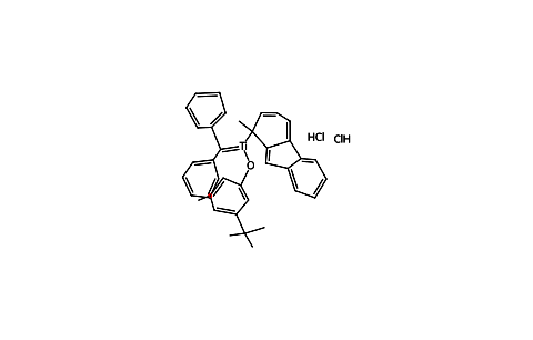 Cc1cc([O][Ti](=[C](c2ccccc2)c2ccccc2)[C]2(C)C=CC=C3C2=Cc2ccccc23)cc(C(C)(C)C)c1.Cl.Cl